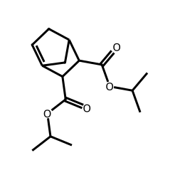 CC(C)OC(=O)C1C2=CCC(C2)C1C(=O)OC(C)C